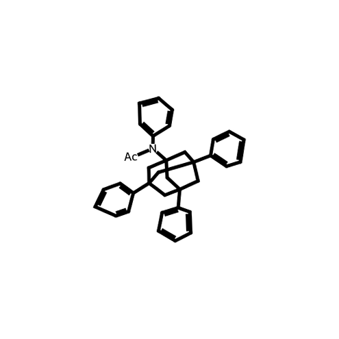 CC(=O)N(c1ccccc1)C12CC3(c4ccccc4)CC(c4ccccc4)(CC(c4ccccc4)(C3)C1)C2